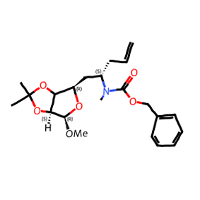 C=CC[C@@H](C[C@H]1O[C@@H](OC)[C@H]2OC(C)(C)OC12)N(C)C(=O)OCc1ccccc1